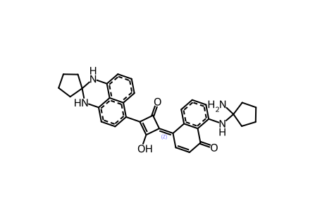 NC1(Nc2cccc3c2C(=O)C=C/C3=C2/C(=O)C(c3ccc4c5c(cccc35)NC3(CCCC3)N4)=C2O)CCCC1